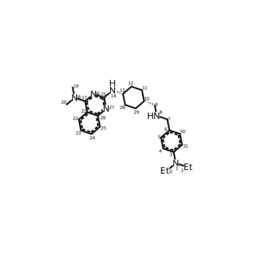 CCN(CC)c1ccc(CNC[C@H]2CC[C@@H](Nc3nc(N(C)C)c4ccccc4n3)CC2)cc1